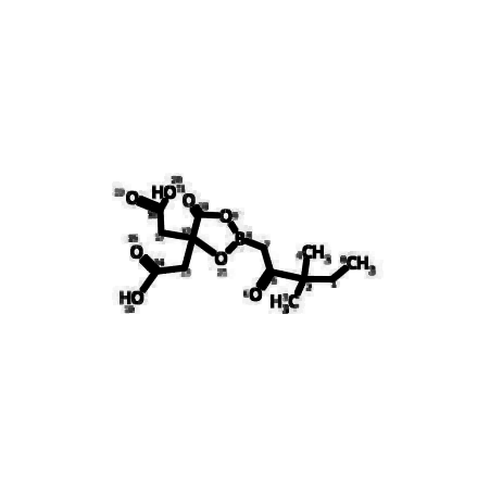 CCC(C)(C)C(=O)CB1OC(=O)C(CC(=O)O)(CC(=O)O)O1